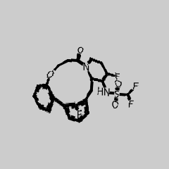 O=C1CCOc2ccccc2-c2cccc(c2F)CC2C(NS(=O)(=O)C(F)F)C(F)CCN12